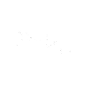 COC[C@@]1(O)CC[C@H]2[C@H](CC[C@@H]3[C@@H]2CC[C@]2(C)[C@@H](C(=O)Nc4nccc(C#N)n4)CC[C@@H]32)C1